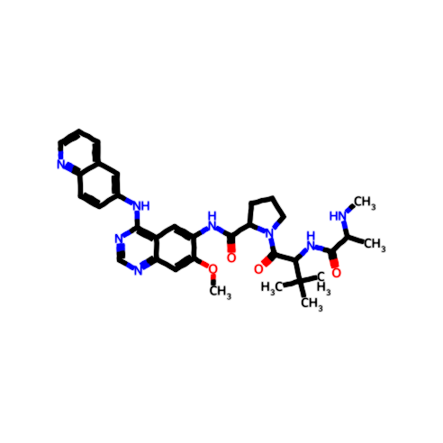 CNC(C)C(=O)NC(C(=O)N1CCCC1C(=O)Nc1cc2c(Nc3ccc4ncccc4c3)ncnc2cc1OC)C(C)(C)C